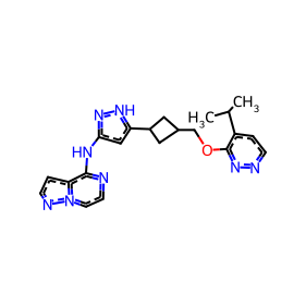 CC(C)c1ccnnc1OCC1CC(c2cc(Nc3nccn4nccc34)n[nH]2)C1